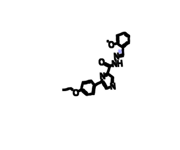 CCOc1ccc(-c2cncc(C(=O)N/N=C/c3ccccc3OC)n2)cc1